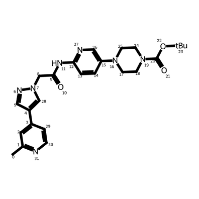 Cc1cc(-c2cnn(CC(=O)Nc3ccc(N4CCN(C(=O)OC(C)(C)C)CC4)cn3)c2)ccn1